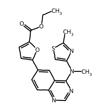 CCOC(=O)c1ccc(-c2ccc3ncnc(N(C)c4csc(C)n4)c3c2)o1